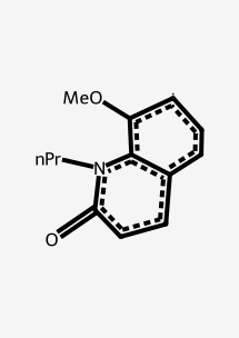 CCCn1c(=O)ccc2cc[c]c(OC)c21